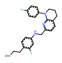 O=CCCc1ccc(NCc2ccc3c(n2)N(c2ccc(F)cc2)CCC3)cc1F